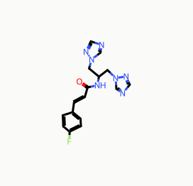 O=C(C=Cc1ccc(F)cc1)NC(Cn1cncn1)Cn1cncn1